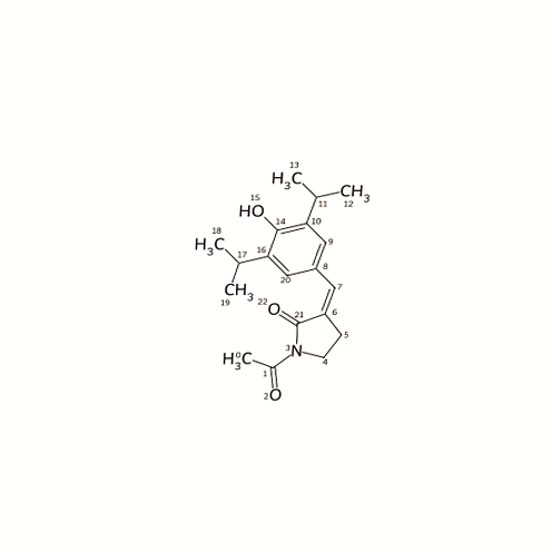 CC(=O)N1CCC(=Cc2cc(C(C)C)c(O)c(C(C)C)c2)C1=O